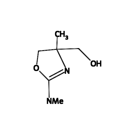 CNC1=NC(C)(CO)CO1